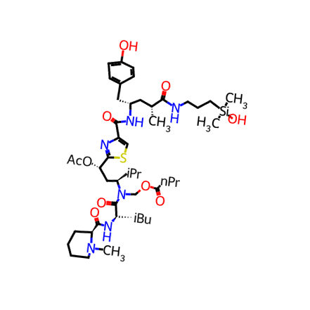 CCCC(=O)OCN(C(=O)[C@H](NC(=O)[C@@H]1CCCCN1C)[C@@H](C)CC)[C@@H](C[C@H](OC(C)=O)c1nc(C(=O)N[C@H](Cc2ccc(O)cc2)C[C@@H](C)C(=O)NCCC[Si](C)(C)O)cs1)C(C)C